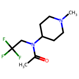 CC(=O)N(CC(F)(F)F)C1CCN(C)CC1